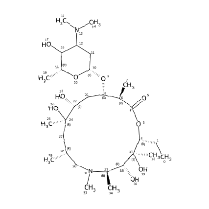 CC[C@H]1OC(=O)[C@H](C)[C@@H](O[C@H]2CC(N(C)C)C(O)[C@@H](C)O2)C[C@@H](O)[C@](C)(O)C[C@@H](C)CN(C)[C@H](C)[C@@H](O)[C@]1(C)O